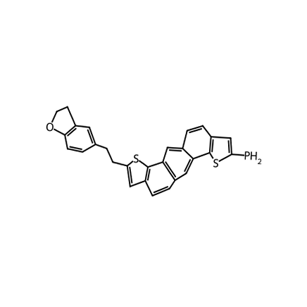 Pc1cc2ccc3cc4c(ccc5cc(CCc6ccc7c(c6)CCO7)sc54)cc3c2s1